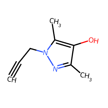 C#CCn1nc(C)c(O)c1C